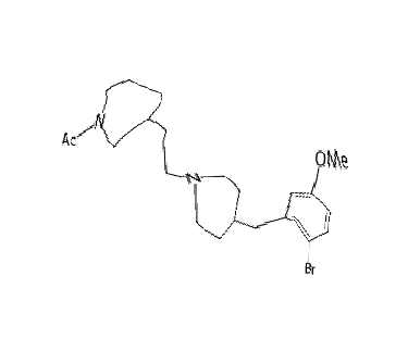 COc1ccc(Br)c(CC2CCN(CCC3CCCN(C(C)=O)C3)CC2)c1